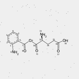 Nc1ccccc1C(=O)OC(=O)[C@@H](N)CCC(=O)O